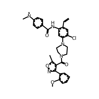 C=Cc1cc(Cl)c(N2CCN(C(=O)c3c(-c4ccccc4OC)noc3C)CC2)cc1NC(=O)c1ccc(N(C)C)cc1